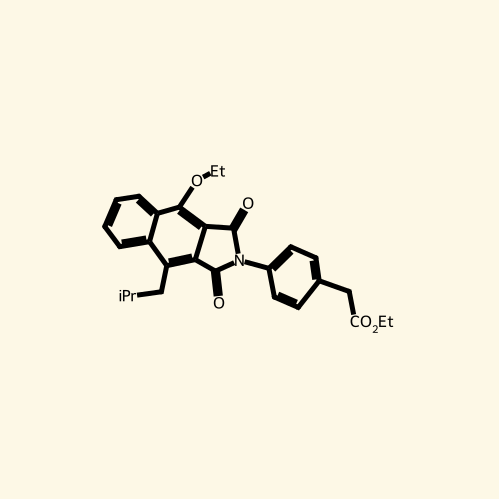 CCOC(=O)Cc1ccc(N2C(=O)c3c(c(OCC)c4ccccc4c3CC(C)C)C2=O)cc1